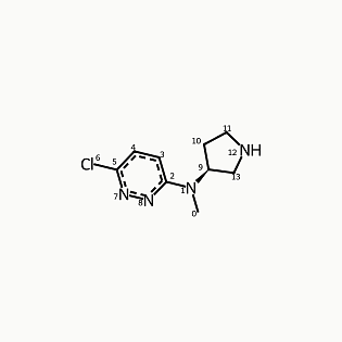 CN(c1ccc(Cl)nn1)[C@H]1CCNC1